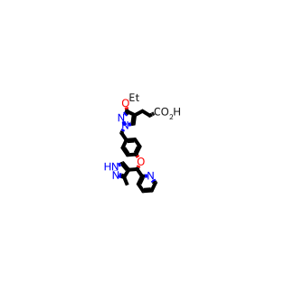 CCOc1nn(Cc2ccc(OC(c3ccccn3)c3c[nH]nc3C)cc2)cc1CCC(=O)O